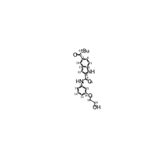 CC(C)(C)C(=O)c1ccc2[nH]c(C(=O)Nc3cccc(OCCO)c3)cc2c1